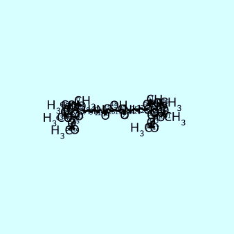 CC(=O)N[C@H]1[C@H](OCCCCCNC(=O)OCC(O)COC(=O)NCCCCCO[C@@H]2O[C@H](COC(C)=O)[C@H](OC(C)=O)[C@H](OC(C)=O)[C@H]2NC(C)=O)O[C@H](COC(C)=O)[C@H](OC(C)=O)[C@@H]1OC(C)=O